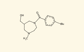 CN1CCN(C(=O)c2ccc(C(C)(C)C)cc2)CC(CO)C1